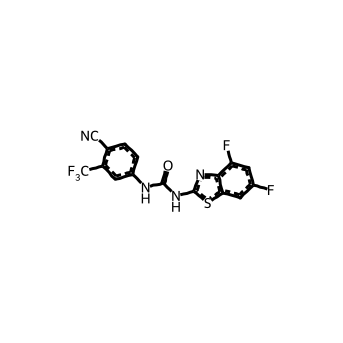 N#Cc1ccc(NC(=O)Nc2nc3c(F)cc(F)cc3s2)cc1C(F)(F)F